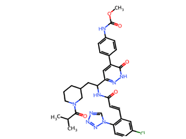 COC(=O)Nc1ccc(-c2cc(C(CC3CCCN(C(=O)C(C)C)C3)NC(=O)C=Cc3cc(Cl)ccc3-n3cnnn3)n[nH]c2=O)cc1